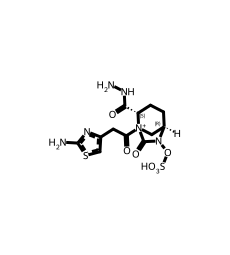 NNC(=O)[C@@H]1CC[C@@H]2C[N+]1(C(=O)Cc1csc(N)n1)C(=O)N2OS(=O)(=O)O